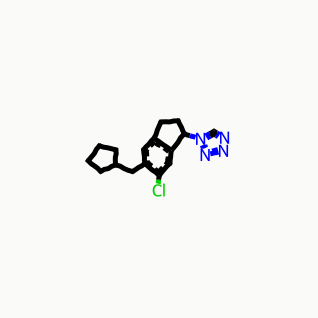 Clc1cc2c(cc1CC1CCCC1)CCC2n1cnnn1